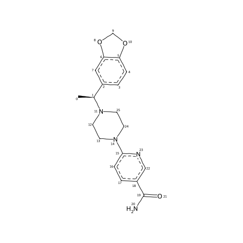 C[C@@H](c1ccc2c(c1)OCO2)N1CCN(c2ccc(C(N)=O)cn2)CC1